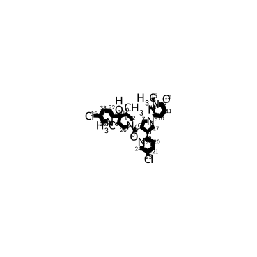 C[C@@H]1CN(C(=O)[C@@H]2CN(c3ccc(=O)n(C)n3)C[C@H]2c2ccc(Cl)cn2)C[C@H](C)C1(O)c1ccc(Cl)cn1